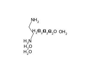 NCCN.O.O.O.O.O.O.O